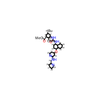 COC(=O)c1cc(C(C)(C)C)cc(NC(=O)Nc2ccc(Oc3ccnc(NCc4ccccn4)c3)c3ccccc23)c1OC